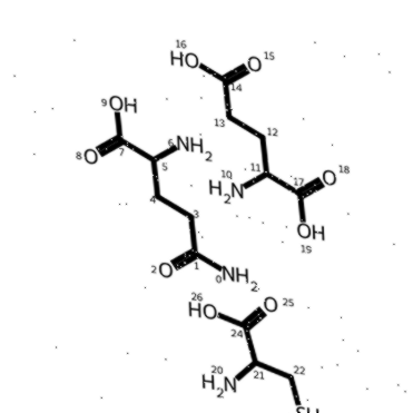 NC(=O)CCC(N)C(=O)O.NC(CCC(=O)O)C(=O)O.NC(CS)C(=O)O